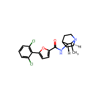 C[C@H]1[C@H](NC(=O)c2ccc(-c3c(Cl)cccc3Cl)o2)C2CCN1CC2